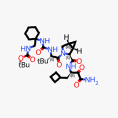 CC(C)(C)OC(=O)NCC1(NC(=O)N[C@H](C(=O)N2C[C@@H]3C[C@@H]3[C@H]2C(=O)N[C@H](CC2CCC2)C(=O)C(N)=O)C(C)(C)C)CCCCC1